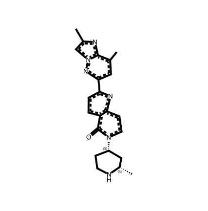 Cc1cn2nc(-c3ccc4c(=O)n([C@H]5CCN[C@@H](C)C5)ccc4n3)cc(C)c2n1